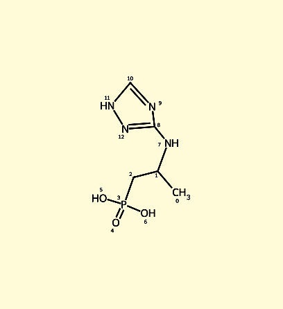 CC(CP(=O)(O)O)Nc1nc[nH]n1